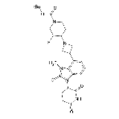 Cn1c(=O)n(C2CCC(=O)NC2=O)c2cccc(C3CN(C4CCN(C(=O)OC(C)(C)C)CC4F)C3)c21